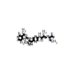 C=N/C(=N\C=C(/C)C(=O)Nc1cnc(-c2nnn(C)c2NC(=O)O[C@H](C)c2cccnc2F)cn1)C(F)F